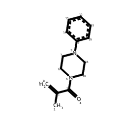 C=C(C)C(=O)N1CCN(c2ccccc2)CC1